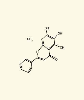 O=c1cc(-c2ccccc2)oc2cc(O)c(O)c(O)c12.[AlH3]